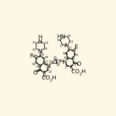 CCn1cc(C(=O)O)c(=O)c2cc(F)c(N3CCNCC3)cc21.O=C(O)c1cn(C2CC2)c2cc(N3CCNCC3)c(F)cc2c1=O